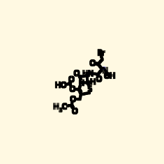 CC(=O)OCC1=C(OC(=O)O)N2C(=O)[C@@H](NC(=O)/C(=N\O)C(=O)CBr)[C@H]2SC1